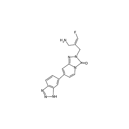 NC/C(=C\F)Cn1nc2cc(-c3ccc4nn[nH]c4c3)ccn2c1=O